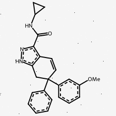 COc1cccc(C2(c3ccccc3)C=Cc3c(C(=O)NC4CC4)n[nH]c3C2)c1